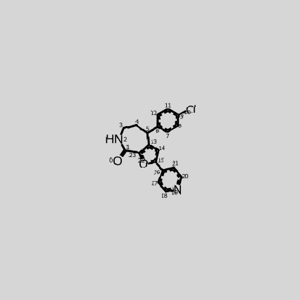 O=C1NCCC(c2ccc(Cl)cc2)c2cc(-c3ccncc3)oc21